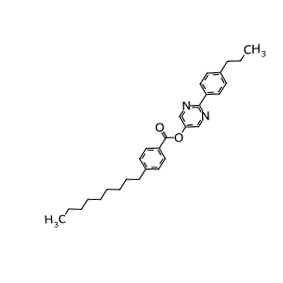 CCCCCCCCCc1ccc(C(=O)Oc2cnc(-c3ccc(CCC)cc3)nc2)cc1